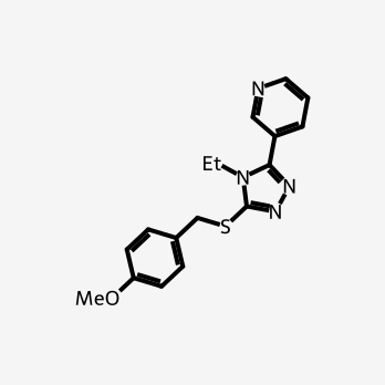 CCn1c(SCc2ccc(OC)cc2)nnc1-c1cccnc1